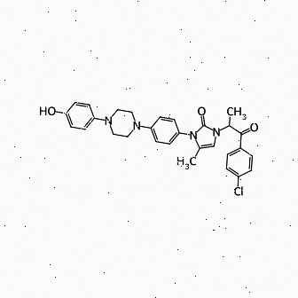 Cc1cn(C(C)C(=O)c2ccc(Cl)cc2)c(=O)n1-c1ccc(N2CCN(c3ccc(O)cc3)CC2)cc1